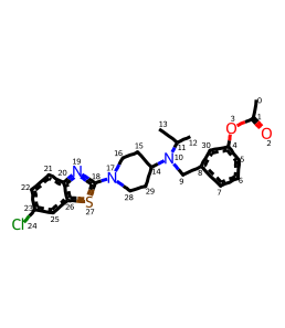 CC(=O)Oc1cccc(CN(C(C)C)C2CCN(c3nc4ccc(Cl)cc4s3)CC2)c1